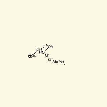 OO.OO.[Cl-].[Cl-].[Mo+2].[MoH2+2].[O-2]